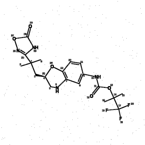 CC(C)(C[C@@H]1CNc2cc(NC(=O)OC(C)(C)C(F)(F)F)ccc2O1)c1noc(=O)[nH]1